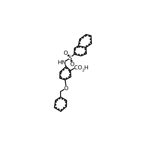 O=C(O)c1cc(OCc2ccccc2)ccc1NS(=O)(=O)c1ccc2ccccc2c1